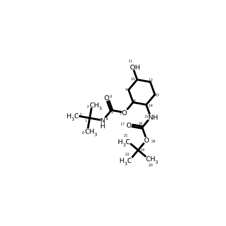 CC(C)(C)NC(=O)OC1CC(O)CCC1NC(=O)OC(C)(C)C